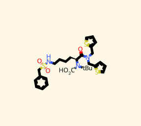 CC(C)(C)N(C(=O)O)[C@@H](CCCCNS(=O)(=O)Cc1ccccc1)C(=O)N(Cc1cccs1)Cc1cccs1